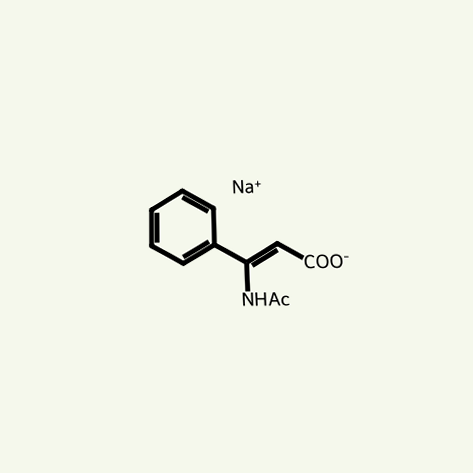 CC(=O)NC(=CC(=O)[O-])c1ccccc1.[Na+]